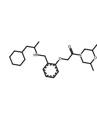 CC(CC1CCCCC1)NCc1ccccc1OCC(=O)N1CC(C)OC(C)C1